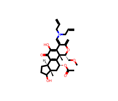 C=CCN(/C=C1\C(=C)O[C@H](COC)[C@@]2(C)C1=C(O)C(=O)C1=C2[C@H](OC(C)=O)C[C@]2(C)C(O)CC[C@@H]12)CC=C